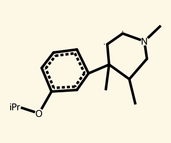 CC(C)Oc1cccc(C2(C)[CH][CH]N(C)CC2C)c1